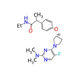 CCNC(=O)C(C)c1ccc(O[C@@H]2CCN(c3nc(N(C)C)ncc3F)C2)cc1